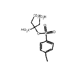 Cc1ccc(S(=O)(=O)OC(CC(=O)O)(CC(=O)O)C(=O)O)cc1